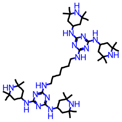 CC1(C)CC(Nc2nc(NCCCCCCNc3nc(NC4CC(C)(C)NC(C)(C)C4)nc(NC4CC(C)(C)NC(C)(C)C4)n3)nc(NC3CC(C)(C)NC(C)(C)C3)n2)CC(C)(C)N1